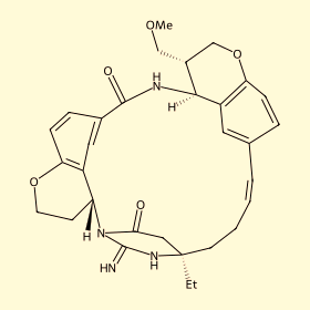 CC[C@]12CC/C=C\c3ccc4c(c3)[C@@H](NC(=O)c3ccc5c(c3)[C@@H](CCO5)N(C(=N)N1)C(=O)C2)[C@H](COC)CO4